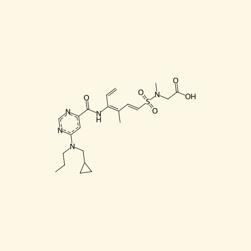 C=C/C(NC(=O)c1cc(N(CCC)CC2CC2)ncn1)=C(C)\C=C\S(=O)(=O)N(C)CC(=O)O